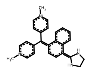 C[n+]1ccc(C(c2cc[n+](C)cc2)=c2ccc(=C3NCCN3)c3ccccc23)cc1